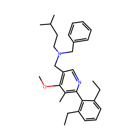 CCc1cccc(CC)c1-c1ncc(CN(CCC(C)C)Cc2ccccc2)c(OC)c1C